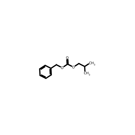 CC(C)COC(=O)O[CH]c1ccccc1